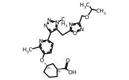 Cc1nc(-c2nnn(C)c2Cc2nc(COC(C)C)no2)ccc1O[C@H]1CCC[C@H](C(=O)O)C1